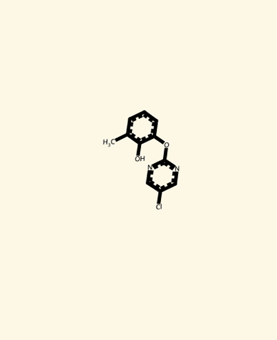 Cc1cccc(Oc2ncc(Cl)cn2)c1O